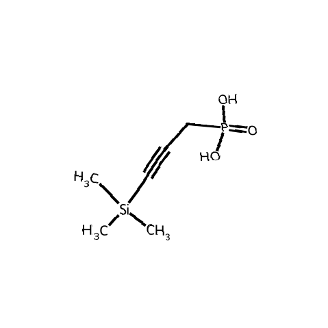 C[Si](C)(C)C#CCP(=O)(O)O